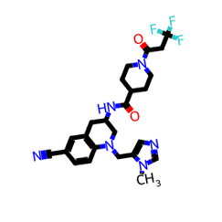 Cn1cncc1CN1CC(NC(=O)C2CCN(C(=O)CC(F)(F)F)CC2)Cc2cc(C#N)ccc21